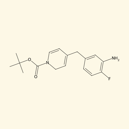 CC(C)(C)OC(=O)N1C=CC(Cc2ccc(F)c(N)c2)=CC1